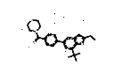 CCc1cc2cc(-c3ccc(C(=O)N4CCOCC4)cc3)cc(C(C)(C)C)c2o1